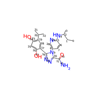 CCC(C)Nc1ccc(-n2c(C(N)=O)nnc2-c2cc(C(C)C)c(O)cc2O)cn1